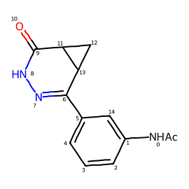 CC(=O)Nc1cccc(C2=NNC(=O)C3CC23)c1